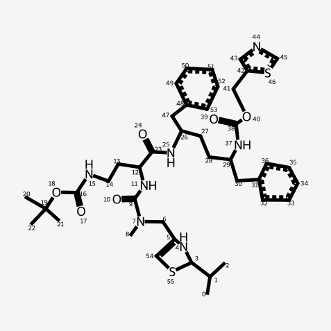 CC(C)C1NC(CN(C)C(=O)NC(CCNC(=O)OC(C)(C)C)C(=O)NC(CCC(Cc2ccccc2)NC(=O)OCc2cncs2)Cc2ccccc2)=CS1